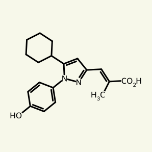 C/C(=C\c1cc(C2CCCCC2)n(-c2ccc(O)cc2)n1)C(=O)O